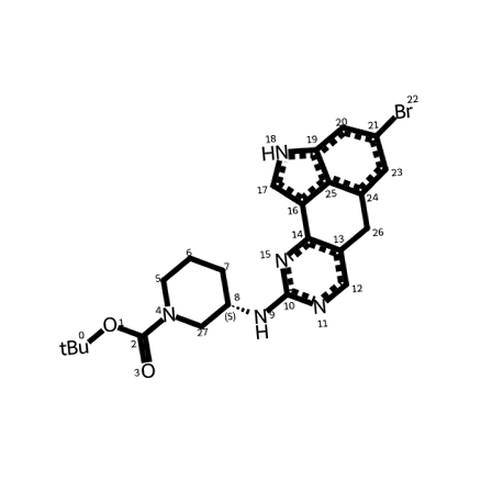 CC(C)(C)OC(=O)N1CCC[C@H](Nc2ncc3c(n2)-c2c[nH]c4cc(Br)cc(c24)C3)C1